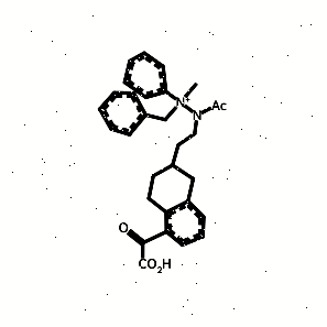 CC(=O)N(CCC1CCc2c(cccc2C(=O)C(=O)O)C1)[N+](C)(Cc1ccccc1)c1ccccc1